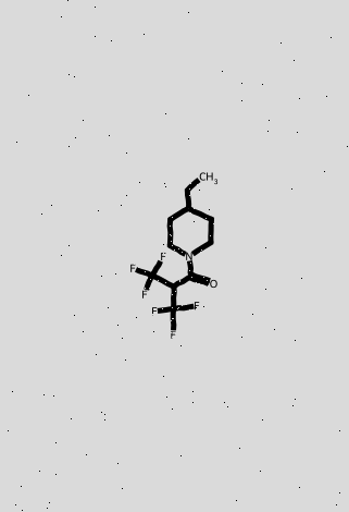 CCC1CCN(C(=O)C(C(F)(F)F)C(F)(F)F)CC1